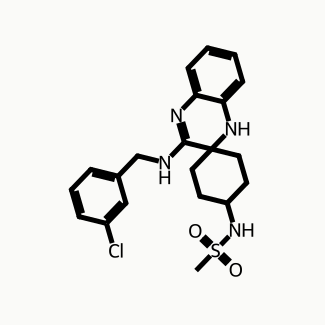 CS(=O)(=O)NC1CCC2(CC1)Nc1ccccc1N=C2NCc1cccc(Cl)c1